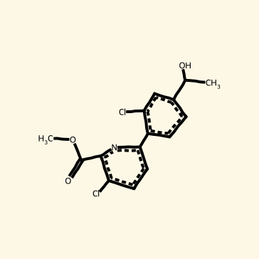 COC(=O)c1nc(-c2ccc(C(C)O)cc2Cl)ccc1Cl